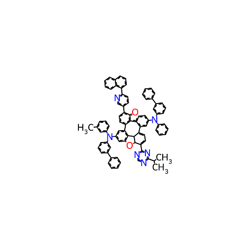 Cc1cccc(N(c2cccc(-c3ccccc3)c2)c2cc3c4c(c2)-c2ccc(-c5ccc(-c6cccc7ccccc67)nc5)c5oc6cc(N(c7ccccc7)c7cccc(-c8ccccc8)c7)cc(c6c25)C2=CC=C(c5ncnc(C(C)C)n5)C(O3)C24)c1